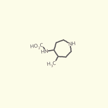 CC1CCNCCC1NC(=O)O